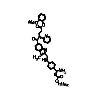 CCCCCCOC(=O)/N=C(\N)c1ccc(NCc2nc3cc(C(=O)N(CCC(=O)Oc4ccccc4OC)c4ccccn4)ccc3n2C)cc1